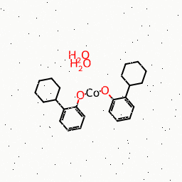 O.O.c1ccc(C2CCCCC2)c([O][Co][O]c2ccccc2C2CCCCC2)c1